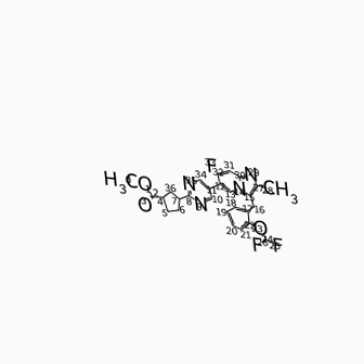 COC(=O)C1CCC(c2ncc(-c3cn4c(Cc5ccccc5OC(F)F)c(C)nc4cc3F)cn2)C1